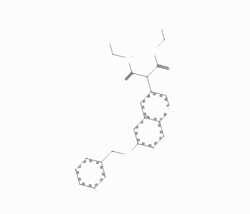 CCOC(=O)C(C(=O)OCC)c1cnc2ccc(OCc3ccccc3)cc2c1